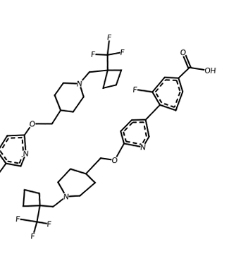 FC(F)(F)C1(CN2CCC(COc3ccc(Br)cn3)CC2)CCC1.O=C(O)c1ccc(-c2ccc(OCC3CCN(CC4(C(F)(F)F)CCC4)CC3)nc2)c(F)c1